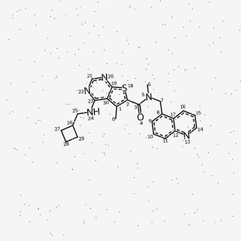 Cc1c(C(=O)N(C)Cc2cccc3ncccc23)sc2ncnc(NCC3CCC3)c12